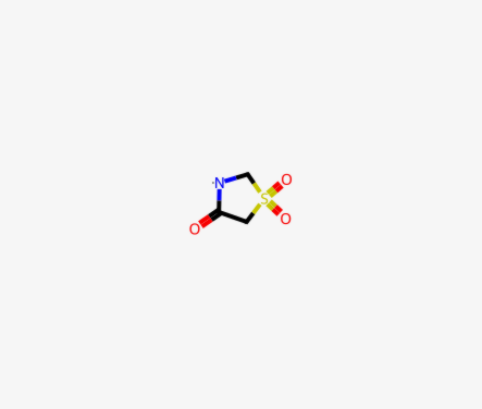 O=C1CS(=O)(=O)C[N]1